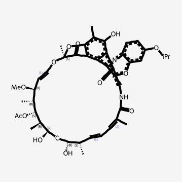 CO[C@H]1/C=C/O[C@@]2(C)Oc3c(C)c(O)c4c(=O)c(c5oc6cc(OC(C)C)ccc6nc-5c4c3C2=O)NC(=O)/C(C)=C\C=C\[C@H](C)[C@H](O)C[C@@H](O)[C@@H](C)[C@H](OC(C)=O)[C@@H]1C